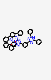 C1=Cc2c(n(-c3ccccc3-c3ccccc3)c3c2ccc2c4ccccc4n(-c4nc(-c5ccccc5)nc(-c5cccc(-c6nc(-c7ccccc7)nc(-c7ccccc7)n6)c5)n4)c23)CC1